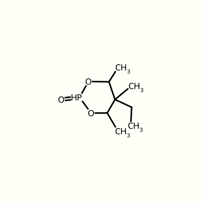 CCC1(C)C(C)O[PH](=O)OC1C